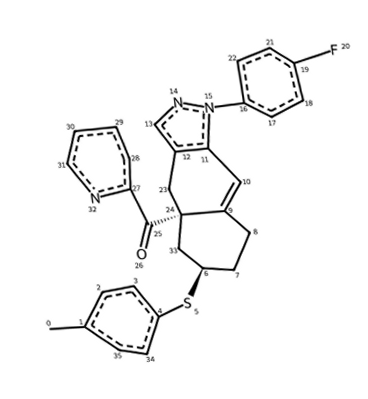 Cc1ccc(S[C@@H]2CCC3=Cc4c(cnn4-c4ccc(F)cc4)C[C@]3(C(=O)c3ccccn3)C2)cc1